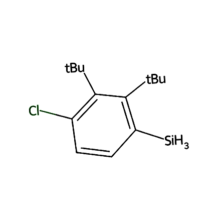 CC(C)(C)c1c([SiH3])ccc(Cl)c1C(C)(C)C